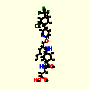 CCCC[C@@H](COc1ccc(-c2ccc(C(F)(F)F)cc2Cl)cn1)Nc1ccc(C(=O)NCCC(=O)O)cc1